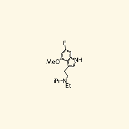 CCN(CCc1c[nH]c2cc(F)cc(OC)c12)C(C)C